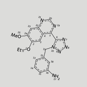 CCOc1cc2c(-c3nnnn3Cc3cccc(N)c3)ncnc2cc1OC